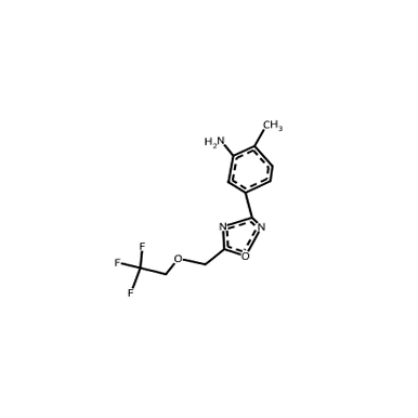 Cc1ccc(-c2noc(COCC(F)(F)F)n2)cc1N